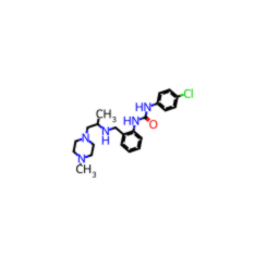 CC(CN1CCN(C)CC1)NCc1ccccc1NC(=O)Nc1ccc(Cl)cc1